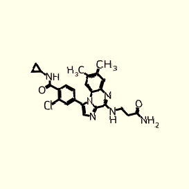 Cc1cc2nc(NCCC(N)=O)c3ncc(-c4ccc(C(=O)NC5CC5)c(Cl)c4)n3c2cc1C